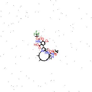 COC1=CC([C@H]2C[C@H]3C(=O)N[C@]4(C(=O)NS(=O)(=O)C5(C)CC5)C[C@H]4/C=C\CC[C@@H](C)C[C@@H](C)CCN3C2)=C(C(=O)O)[C@H](NC(=O)OC(C)(C)C(F)(F)F)C1=O